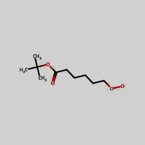 CC(C)(C)OC(=O)CCCCCO[O]